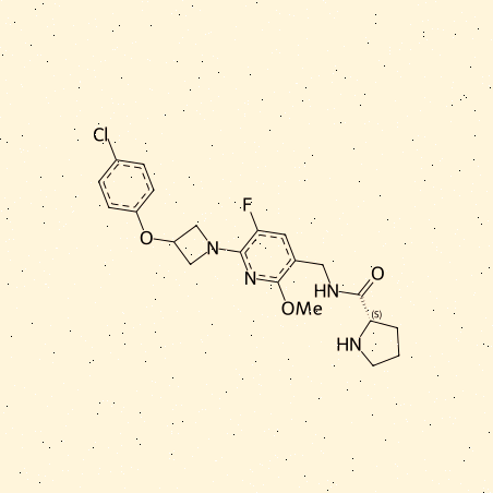 COc1nc(N2CC(Oc3ccc(Cl)cc3)C2)c(F)cc1CNC(=O)[C@@H]1CCCN1